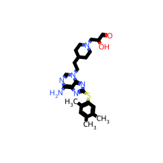 Cc1cc(C)c(Sc2nc3c(N)ncn(CCC4CCN(CC(O)C=O)CC4)c-3n2)cc1C